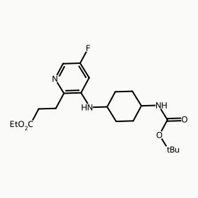 CCOC(=O)CCc1ncc(F)cc1NC1CCC(NC(=O)OC(C)(C)C)CC1